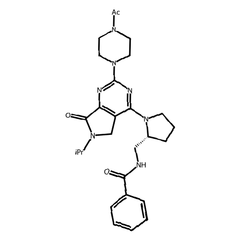 CC(=O)N1CCN(c2nc3c(c(N4CCC[C@@H]4CNC(=O)c4ccccc4)n2)CN(C(C)C)C3=O)CC1